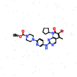 Cc1c(Br)c(=O)n(C2CCCC2)c2nc(Nc3ccc(N4CCN(C(=O)OC(C)(C)C)CC4)nc3)ncc12